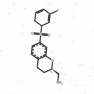 NC[C@H]1CCc2ccc(S(=O)(=O)C3C=C(F)C=CC3)cc2O1